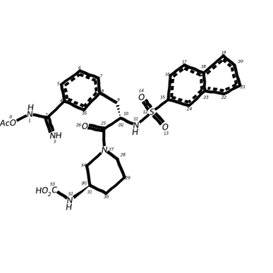 CC(=O)ONC(=N)c1cccc(C[C@H](NS(=O)(=O)c2ccc3ccccc3c2)C(=O)N2CCC[C@@H](NC(=O)O)C2)c1